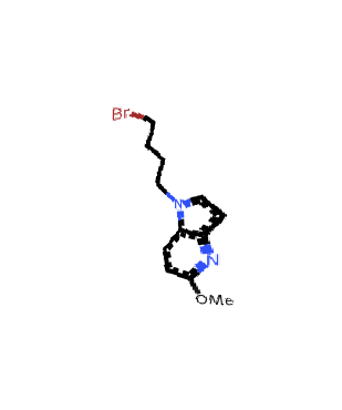 COc1ccc2c(ccn2CCCCBr)n1